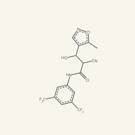 Cc1oncc1C(O)C(C#N)C(=O)Nc1cc(C(F)(F)F)cc(C(F)(F)F)c1